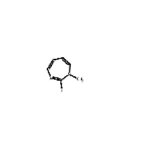 CN1C=CC=CN=C1I